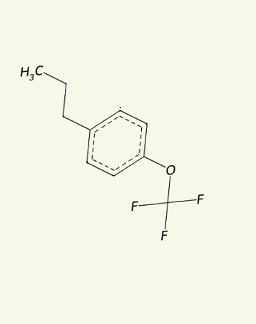 CCCc1[c]cc(OC(F)(F)F)cc1